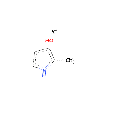 Cc1ccc[nH]1.[K+].[OH-]